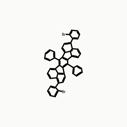 Brc1ccccc1-c1ccc2c3c(-c4ccccc4)c4c5cccc6c(-c7ccccc7Br)ccc(c4c(-c4ccccc4)c3c3cccc1c32)c65